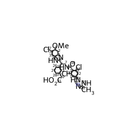 COc1cc2nc(C(CNC(=O)c3c(Cl)cc(N/C=N\C(C)=N)cc3Cl)c3cccc(CC(=O)O)c3)[nH]c2cc1Cl